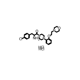 Cl.Cl.NC(Cc1ccc(Cl)cc1)C(=O)N1CCN(c2ccccc2OCCN2CCOCC2)CC1